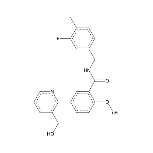 CCCOc1ccc(-c2ncccc2CO)cc1C(=O)NCc1ccc(C)c(F)c1